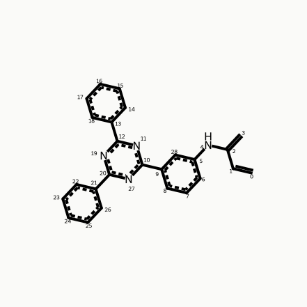 C=CC(=C)Nc1cccc(-c2nc(-c3ccccc3)nc(-c3ccccc3)n2)c1